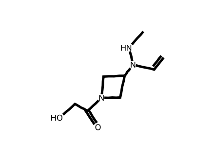 C=CN(NC)C1CN(C(=O)CO)C1